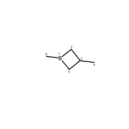 CB1CC(C)C1